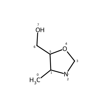 CC1[N]COC1CO